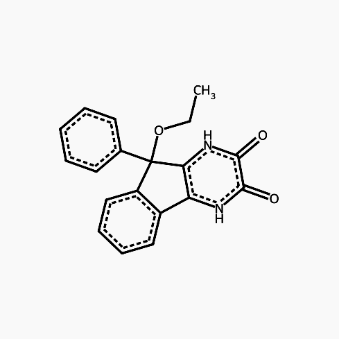 CCOC1(c2ccccc2)c2ccccc2-c2[nH]c(=O)c(=O)[nH]c21